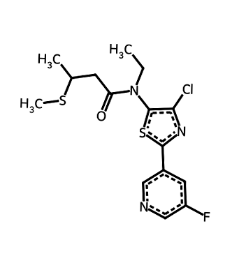 CCN(C(=O)CC(C)SC)c1sc(-c2cncc(F)c2)nc1Cl